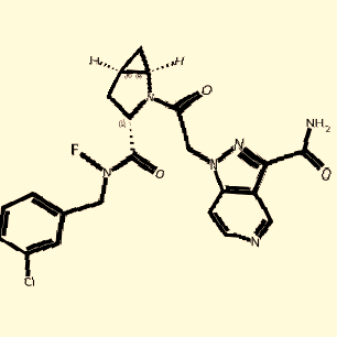 NC(=O)c1nn(CC(=O)N2[C@@H]3C[C@@H]3C[C@H]2C(=O)N(F)Cc2cccc(Cl)c2)c2ccncc12